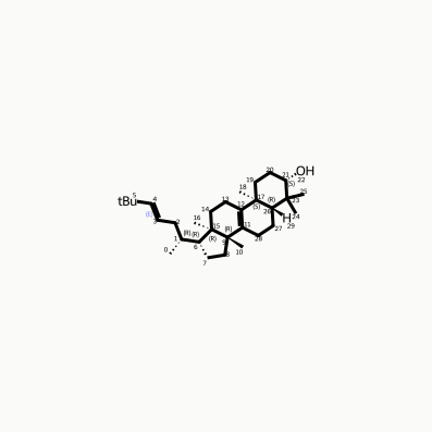 C[C@H](C/C=C/C(C)(C)C)[C@H]1CC[C@@]2(C)C3=C(CC[C@]12C)[C@@]1(C)CC[C@H](O)C(C)(C)[C@@H]1CC3